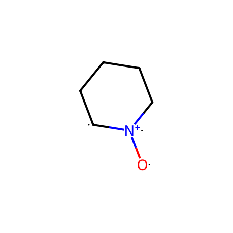 [O][N+]1[CH]CCCC1